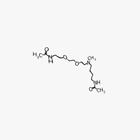 CC(=O)NCCCCN(C)CCOCCOCCNC(C)=O